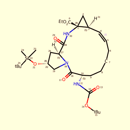 CCOC(=O)[C@@]12C[C@H]1/C=C\CCCC[C@H](NC(=O)OC(C)(C)C)C(=O)N1C[C@H](O[Si](C)(C)C(C)(C)C)C[C@H]1C(=O)N2